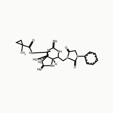 CC1(C(=O)NC2CN3C(=N)NC(CN4C(=O)CN(c5ccccc5)C4=O)[C@@H]4NC(=N)N[C@@]43C2(O)O)CC1